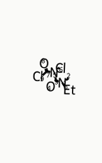 CCN(C)C(=O)N(Cl)C(=O)Cl